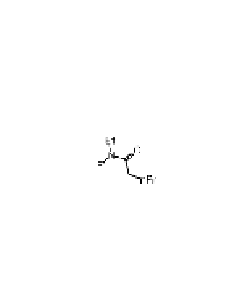 CCCCC(=O)N(F)CC